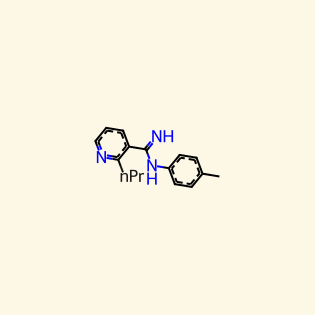 CCCc1ncccc1C(=N)Nc1ccc(C)cc1